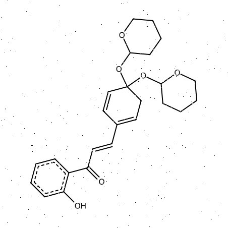 O=C(C=CC1=CCC(OC2CCCCO2)(OC2CCCCO2)C=C1)c1ccccc1O